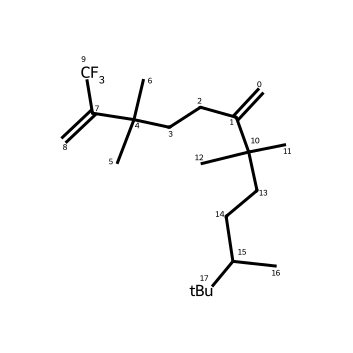 C=C(CCC(C)(C)C(=C)C(F)(F)F)C(C)(C)CCC(C)C(C)(C)C